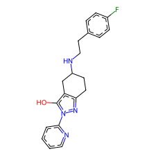 Oc1c2c(nn1-c1ccccn1)CCC(NCCc1ccc(F)cc1)C2